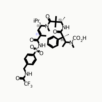 C/C(=C\[C@H](C(C)C)N(C)C(=O)C(C)(C)[C@H](C)NC(=O)[C@](C)(c1ccccc1)C(C)N(C)C(=O)O)C(=O)NS(=O)(=O)c1ccc(CNC(=O)C(F)(F)F)cc1